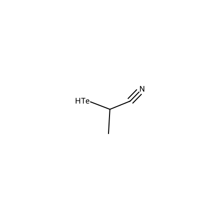 CC([TeH])C#N